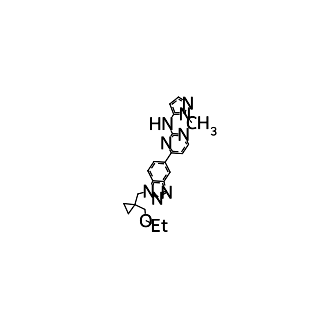 CCOCC1(Cn2nnc3cc(-c4ccnc(Nc5ccnn5C)n4)ccc32)CC1